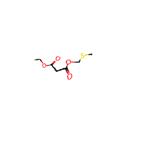 CCOC(=O)CC(=O)OCSC